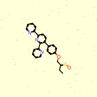 CCC(COc1ccc(-c2ccc(-c3ccccn3)nc2-c2ccccn2)cc1)=S=O